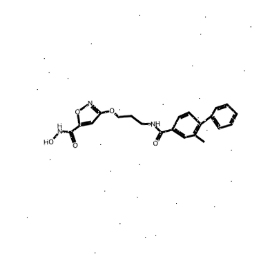 Cc1cc(C(=O)NCCCOc2cc(C(=O)NO)on2)ccc1-c1ccccc1